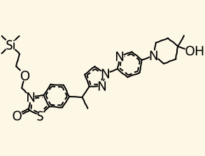 CC(c1ccc2c(c1)sc(=O)n2COCC[Si](C)(C)C)c1ccn(-c2ccc(N3CCC(C)(O)CC3)cn2)n1